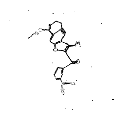 CC1CCCc2cc3c(N)c(C(=O)c4cccc([N+](=O)[O-])c4)oc3cc21